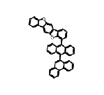 c1ccc2c(c1)cc(-c1c3ccccc3c(-c3cccc4c3oc3cc5c(cc34)oc3ccccc35)c3ccccc13)c1ccccc12